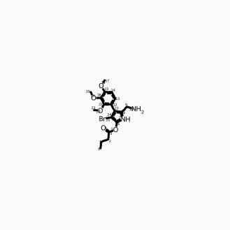 CCCC(=O)Oc1[nH]c(CN)c(-c2ccc(OC)c(OC)c2OC)c1Br